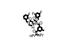 CCCN(CCC)C(=O)c1cc(C)cc(C(=O)N[C@@H](Cc2cc(F)cc(F)c2)C(O)[C@@H]2NCCN(Cc3cccc(F)c3)C2=O)c1